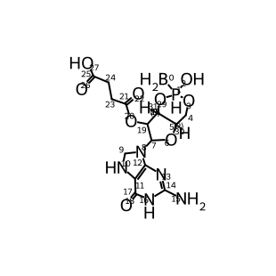 B[PH]1(O)OC[C@H]2OC(N3CNc4c3nc(N)[nH]c4=O)C(OC(=O)CCC(=O)O)[C@@H]2O1